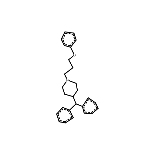 c1ccc(OCCCN2CCC(C(c3ccccc3)c3ccccc3)CC2)cc1